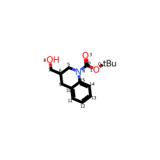 CC(C)(C)OC(=O)N1CC(CO)Cc2ccccc21